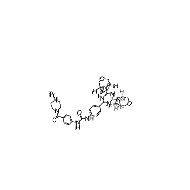 CC(C)N1CCN(C(=O)c2ccc(NC(=O)Nc3ccc(-c4nc(N5[C@@H]6COC[C@H]5[C@H](F)C6)nc(N5[C@@H]6COC[C@H]5[C@H](F)C6)n4)cc3)cc2)CC1